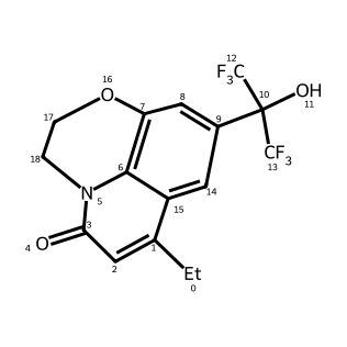 CCc1cc(=O)n2c3c(cc(C(O)(C(F)(F)F)C(F)(F)F)cc13)OCC2